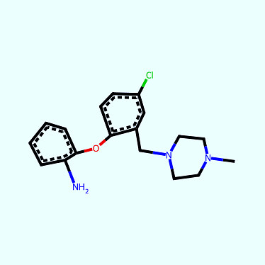 CN1CCN(Cc2cc(Cl)ccc2Oc2ccccc2N)CC1